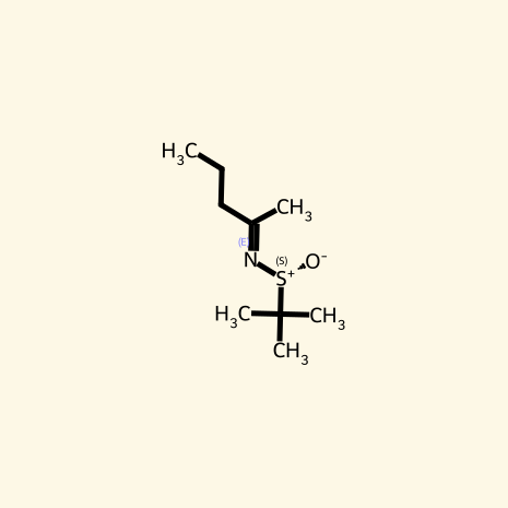 CCC/C(C)=N/[S@+]([O-])C(C)(C)C